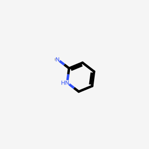 [N]C1=CC=CCN1